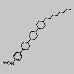 CCCCCCCCC1CCC(C2CCC(C3CCC(c4ccc(N=C=S)cc4)CC3)CC2)CC1